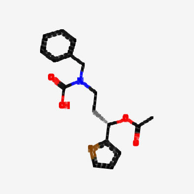 CC(=O)O[C@@H](CCN(Cc1ccccc1)C(=O)O)c1cccs1